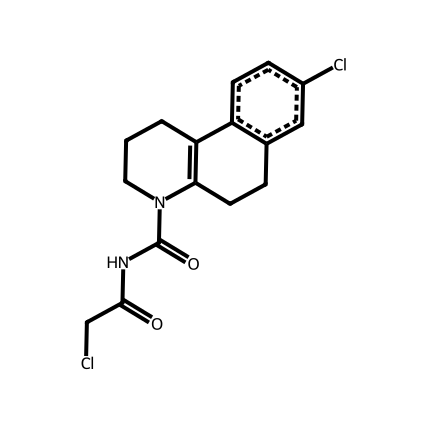 O=C(CCl)NC(=O)N1CCCC2=C1CCc1cc(Cl)ccc12